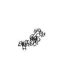 CCNC(=O)CN(Cc1ccc2c(c1)B(O)OC2)C(C)(C)CNC(=O)c1ccc(F)c(BO)c1F